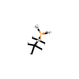 [3H]P([3H])[Si](C)(C)C(C)(C)C